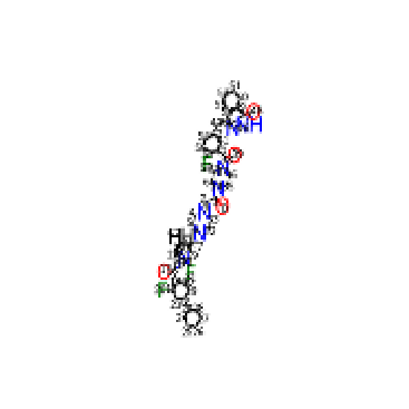 O=C(CN1CCN(C[C@@H]2CC3CC[C@@H]2CN3C(=O)c2c(F)cc(-c3ccccc3)cc2F)CC1)N1CCN(C(=O)c2cc(Cc3n[nH]c(=O)c4ccccc34)ccc2F)CC1